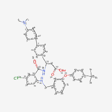 CN(C)c1ccc(-c2ccc(C(CC(=O)O)NC(=O)c3cc(Cl)ccc3NCc3cccc(Oc4ccc(C(C)(C)C)cc4)c3)cc2)cc1